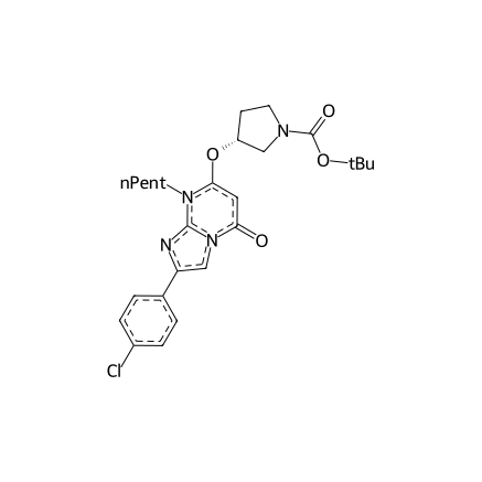 CCCCCn1c(O[C@@H]2CCN(C(=O)OC(C)(C)C)C2)cc(=O)n2cc(-c3ccc(Cl)cc3)nc12